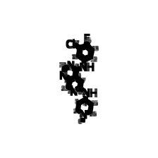 CN1CCC(Nc2cc3c(Nc4ccc(F)c(Cl)c4)ncnc3cn2)CC1